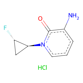 Cl.Nc1cccn([C@H]2C[C@@H]2F)c1=O